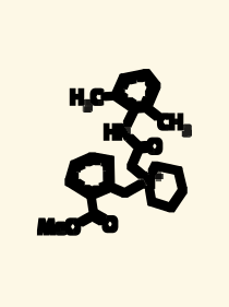 COC(=O)c1ccccc1C[N+]1(CC(=O)Nc2c(C)cccc2C)CCCCC1